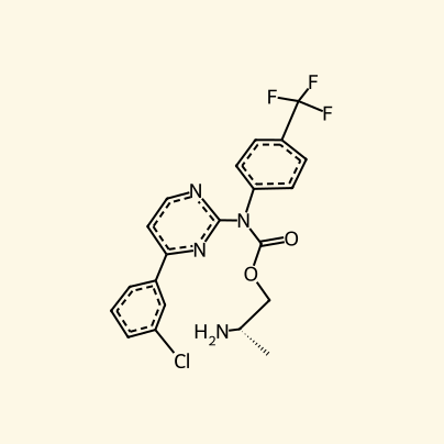 C[C@H](N)COC(=O)N(c1ccc(C(F)(F)F)cc1)c1nccc(-c2cccc(Cl)c2)n1